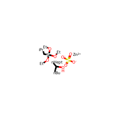 CCCCCCCC(O)CCCC.CCO[Si](CC(C)C)(OCC)OCC.O=S(=O)([O-])[O-].[Zn+2]